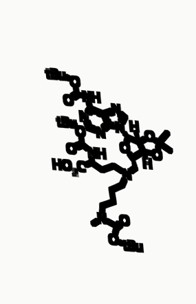 CN(CCCCN(CCC(NC(=O)OC(C)(C)C)C(=O)O)C[C@H]1O[C@@H](n2cnc3c(NC(=O)OC(C)(C)C)ncnc32)[C@@H]2OC(C)(C)O[C@@H]21)C(=O)OC(C)(C)C